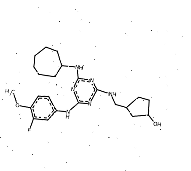 COc1ccc(Nc2nc(NCC3CCC(O)C3)nc(NC3CCCCCC3)n2)cc1F